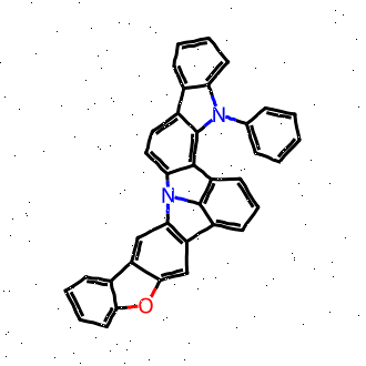 c1ccc(-n2c3ccccc3c3ccc4c(c5cccc6c7cc8oc9ccccc9c8cc7n4c65)c32)cc1